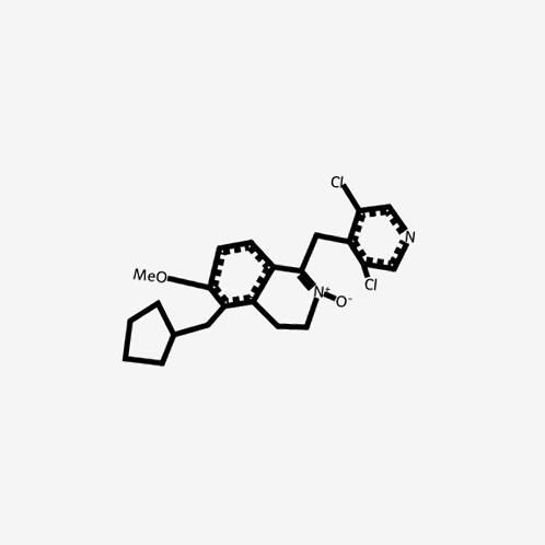 COc1ccc2c(c1CC1CCCC1)CC[N+]([O-])=C2Cc1c(Cl)cncc1Cl